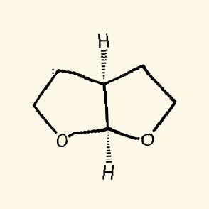 [C]1CO[C@@H]2OCC[C@H]12